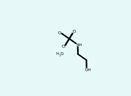 O.OCCNC(Cl)(Cl)Cl